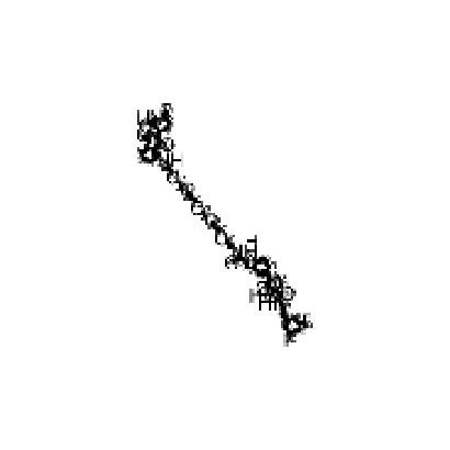 O=C1CCC(N2C(=O)c3cccc(NCCOCCOCCOCCOCCOCCNC(=O)c4cc5cc(N6CCC(O)(C(=O)NCCc7cc(F)cc(F)c7)C6=O)ccc5[nH]4)c3C2=O)C(=O)N1